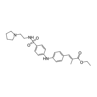 CCOC(=O)/C(C)=C/c1ccc(Nc2ccc(S(=O)(=O)NCCN3CCCC3)cc2)cc1